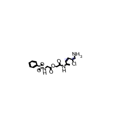 C=C(/C=C\C(Cl)=C/N)NC(=O)COC(=O)CNS(=O)(=O)c1ccccc1